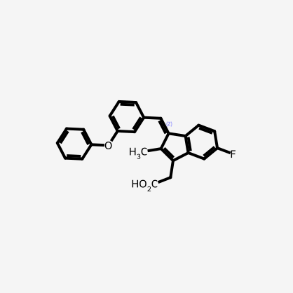 CC1=C(CC(=O)O)c2cc(F)ccc2/C1=C/c1cccc(Oc2ccccc2)c1